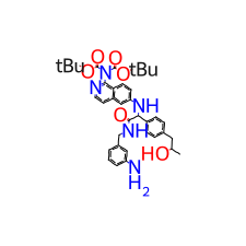 CC(O)Cc1ccc(C(Nc2ccc3c(N(C(=O)OC(C)(C)C)C(=O)OC(C)(C)C)nccc3c2)C(=O)NCc2cccc(N)c2)cc1